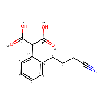 N#CCCCc1ccccc1C(C(=O)O)C(=O)O